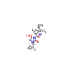 C#CC(C)(C)c1cc(N2C(=O)N(CC=C)CC2O)on1